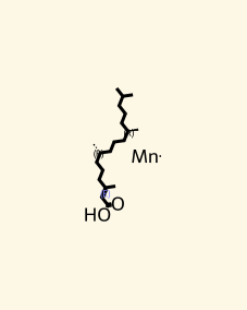 C/C(=C\C(=O)O)CCC[C@H](C)CCC[C@H](C)CCCC(C)C.[Mn]